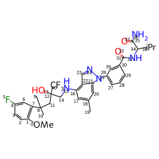 COc1ccc(F)cc1C(C)(C)CC(O)(CNc1cc(C)cc2c1cnn2-c1cccc(C(=O)NC(C(N)=O)C(C)C)c1)C(F)(F)F